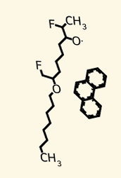 CCCCCCCCOC(CF)CCCCC([O])C(C)F.c1ccc2c(c1)ccc1ccccc12